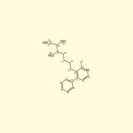 Cc1nccc(-c2ccccc2)c1CCCCC(O)C(O)C(=O)O